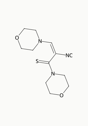 [C-]#[N+]C(=CN1CCOCC1)C(=S)N1CCOCC1